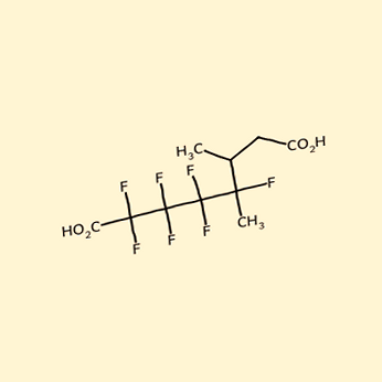 CC(CC(=O)O)C(C)(F)C(F)(F)C(F)(F)C(F)(F)C(=O)O